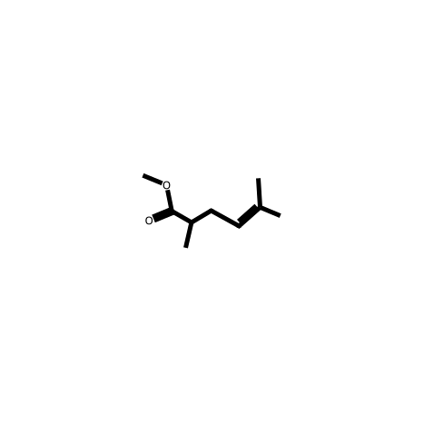 COC(=O)C(C)CC=C(C)C